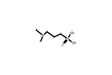 CN(C)CCCP(O)(O)=S